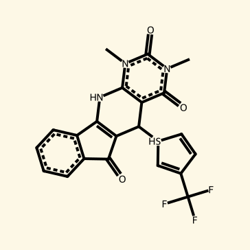 Cn1c2c(c(=O)n(C)c1=O)C([SH]1C=CC(C(F)(F)F)=C1)C1=C(N2)c2ccccc2C1=O